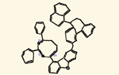 C1=C(c2cccc3oc4ccc(-c5ccc6c(c5)-c5ccccc5CCC6c5cccc6ccccc56)cc4c23)/N=C(c2ccccc2)\N=C(\c2ccccc2)CC\1